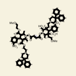 COCCOC(=O)C1=C(C)N(OC(=O)/C=C/C(=O)ON2C(C)C(CCOC)(C(=O)O)C(c3cccc([N+](=O)[O-])c3)C(CCN3CCC(c4ccccc4)(c4ccccc4)CC3)(C(=O)O)C2C)C(C)=C(C(=O)OCCN2CCC(c3ccccc3)(c3ccccc3)CC2)C1c1cccc([N+](=O)[O-])c1